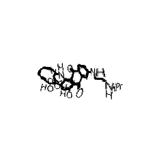 CC(C)NCCNc1ccc2c(c1)C(=O)c1c(O)cc3c(c1C2=O)N[C@H]1C#C/C=C\C#C[C@@H](O)[C@@]32O[C@@]12[C@@H](C)O